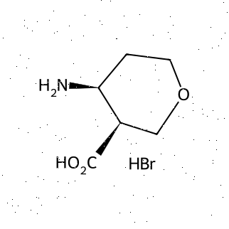 Br.N[C@H]1CCOC[C@H]1C(=O)O